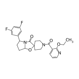 CCOc1ncccc1C(=O)N1CCC2(CC1)OC1CCC(c3cc(F)cc(F)c3)N1C2=O